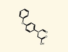 O=CN(CC(=O)O)c1ccc(Oc2ccccc2)cc1